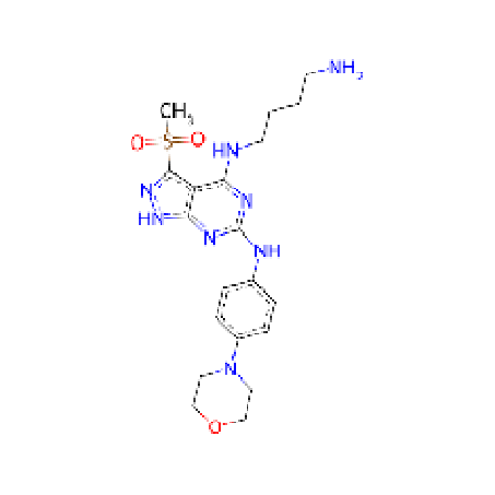 CS(=O)(=O)c1n[nH]c2nc(Nc3ccc(N4CCOCC4)cc3)nc(NCCCCN)c12